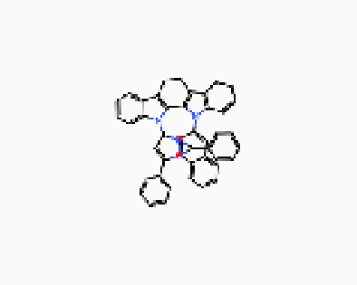 C1=Cc2c(c3c(n2-c2ccc4ccccc4c2)-c2c(c4ccccc4n2C2C=C(c4ccccc4)N4C(c5ccccc5)N24)CC3)CC1